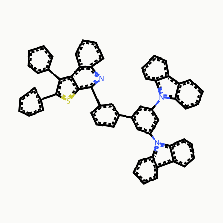 c1ccc(-c2sc3c(-c4cccc(-c5cc(-n6c7ccccc7c7ccccc76)cc(-n6c7ccccc7c7ccccc76)c5)c4)nc4ccccc4c3c2-c2ccccc2)cc1